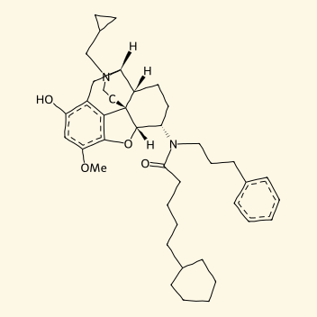 COc1cc(O)c2c3c1O[C@H]1[C@@H](N(CCCc4ccccc4)C(=O)CCCCC4CCCCC4)CC[C@H]4[C@@H](C2)N(CC2CC2)CC[C@@]341